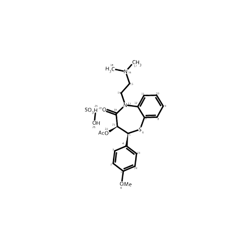 COc1ccc([C@@H]2Sc3ccccc3N(CCN(C)C)C(=O)[C@@H]2OC(C)=O)cc1.O=S(=O)(O)O